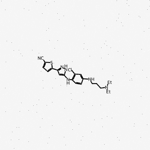 CCN(CC)CCCNc1ccc(Nc2cc(-c3ccc(C#N)s3)n[nH]2)c(Cl)c1